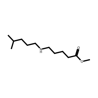 COC(=O)CCCCNCCCC(C)C